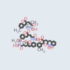 CC(Cc1cc2ccccc2oc1=O)C(=O)NO.COc1ccc2oc(=O)c(C=CC(=O)NO)cc2c1.Cc1ccc2oc(=O)c(CC(C)(C)C(=O)NO)cc2c1.Cc1ccc2oc(=O)c(CC(Cc3ccccc3)C(=O)NO)cc2c1